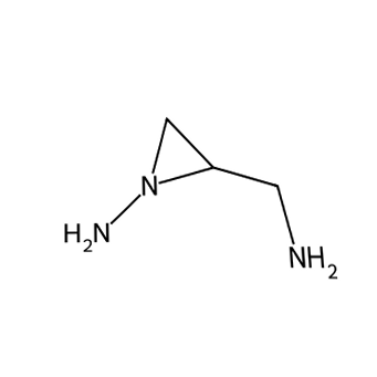 NCC1CN1N